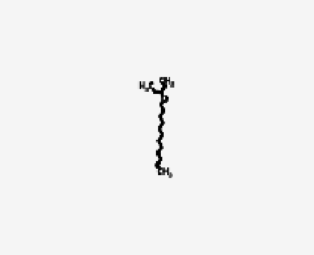 CCCCCCCCCCCCOC(CC)CC